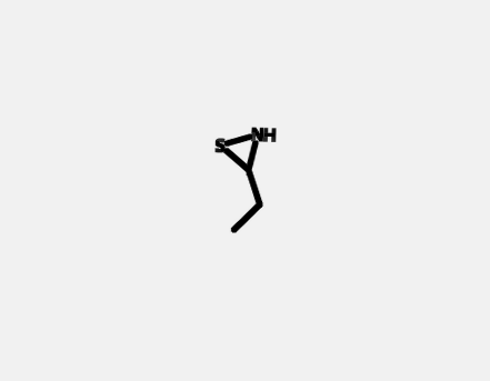 CC[C]1NS1